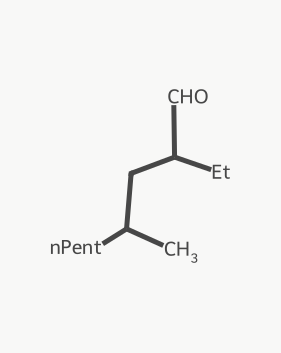 CCCCCC(C)CC(C=O)CC